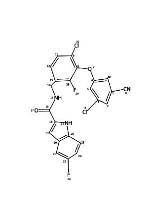 N#Cc1cc(Cl)cc(Oc2c(Cl)ccc(CNC(=O)c3cc4cc(F)ccc4[nH]3)c2F)c1